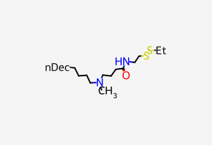 CCCCCCCCCCCCCCN(C)CCCC(=O)NCCSSCC